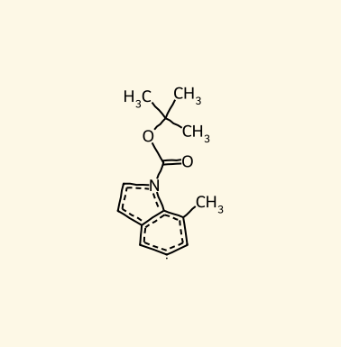 Cc1c[c]cc2ccn(C(=O)OC(C)(C)C)c12